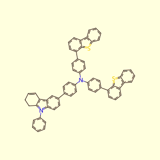 C1=Cc2c(n(-c3ccccc3)c3ccc(-c4ccc(N(c5ccc(-c6cccc7c6sc6ccccc67)cc5)c5ccc(-c6cccc7c6sc6ccccc67)cc5)cc4)cc23)CC1